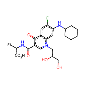 CCC(NC(=O)c1cn(CC(O)CO)c2cc(NC3CCCCC3)c(F)cc2c1=O)C(=O)O